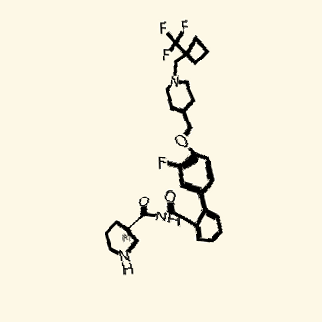 O=C(NC(=O)[C@@H]1CCCNC1)c1ccccc1-c1ccc(OCC2CCN(CC3(C(F)(F)F)CCC3)CC2)c(F)c1